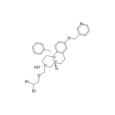 CCC(CC)COC[C@@]1(O)CC[C@@]2(Cc3ccccc3)c3ccc(OCc4cccnc4)cc3CC[C@@H]2C1